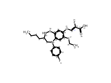 CCCCC1CN(c2ccc(F)cc2)c2cc(SCC)c(O/C=C(\F)C(=O)O)cc2SN1